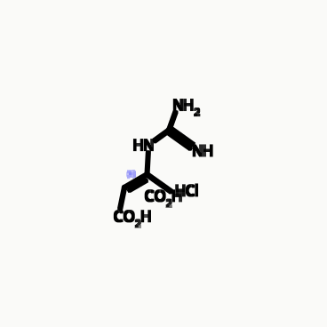 Cl.N=C(N)N/C(=C/C(=O)O)C(=O)O